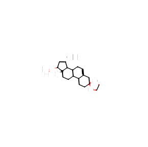 CC1CC(O)[C@@]2(C)CCC3C4CCC5(CC4=CCC3C12)OCCO5